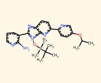 CC(C)Oc1ccc(-c2ccc3nc(-c4cccnc4N)n(O[Si](C)(C)C(C)(C)C)c3n2)nc1